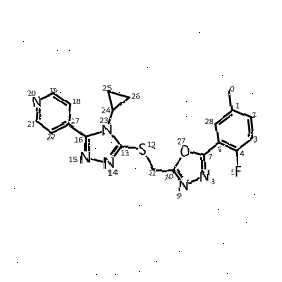 Cc1ccc(F)c(-c2nnc(CSc3nnc(-c4ccncc4)n3C3CC3)o2)c1